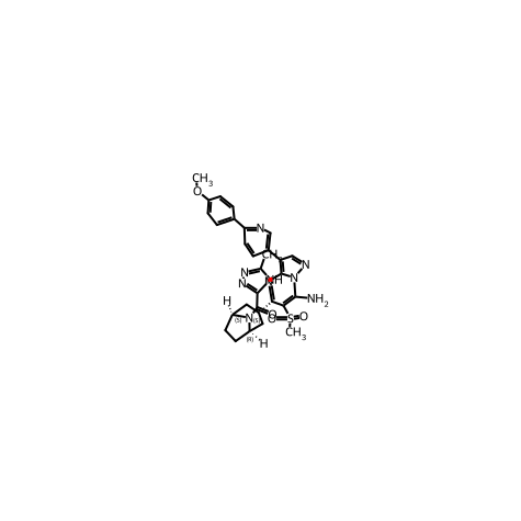 COc1ccc(-c2ccc(-c3cnn4c(N)c(S(C)(=O)=O)c([C@@H]5C[C@H]6CC[C@@H](C5)N6C(=O)c5nnc(C)[nH]5)nc34)cn2)cc1